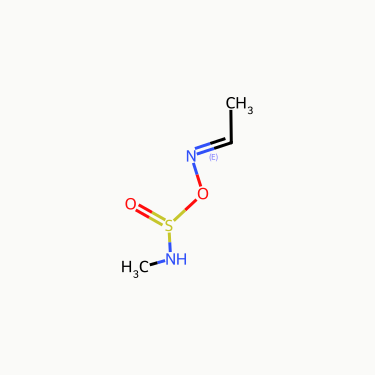 C/C=N/OS(=O)NC